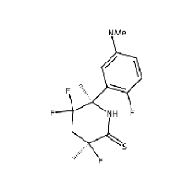 CNc1ccc(F)c([C@@]2(C)NC(=S)[C@@](C)(F)CC2(F)F)c1